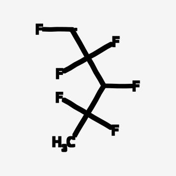 CC(F)(F)C(F)C(F)(F)[CH]F